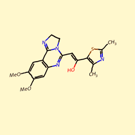 COc1cc2c(cc1OC)C1=NCCN1C(/C=C(\O)c1sc(C)nc1C)=N2